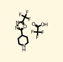 FC(F)(F)c1nnc(C2CCNCC2)o1.O=C(O)C(F)(F)F